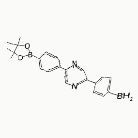 Bc1ccc(-c2cnc(-c3ccc(B4OC(C)(C)C(C)(C)O4)cc3)cn2)cc1